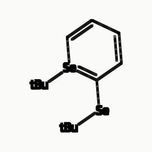 CC(C)(C)[Se]C1=[Se](C(C)(C)C)C=CC=C1